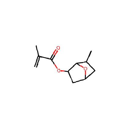 C=C(C)C(=O)OC1CC2CC(C)C1O2